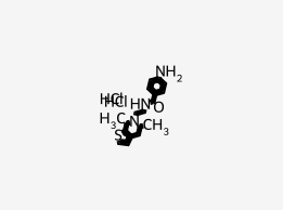 CC1Cc2ccsc2C(C)N1CCNC(=O)c1ccc(N)cc1.Cl.Cl